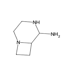 NC1NCCN2CCC12